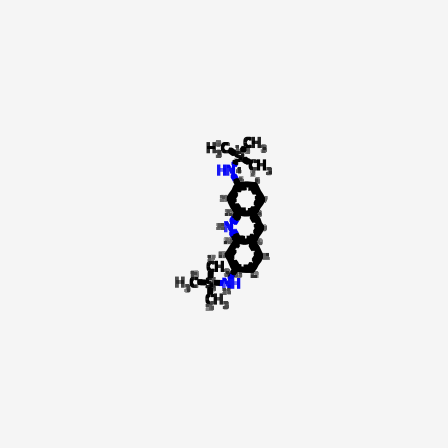 C[Si](C)(C)Nc1ccc2cc3ccc(N[Si](C)(C)C)cc3nc2c1